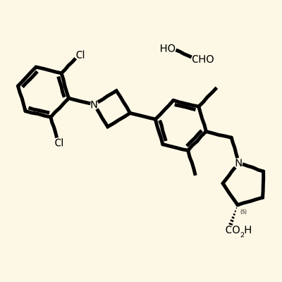 Cc1cc(C2CN(c3c(Cl)cccc3Cl)C2)cc(C)c1CN1CC[C@H](C(=O)O)C1.O=CO